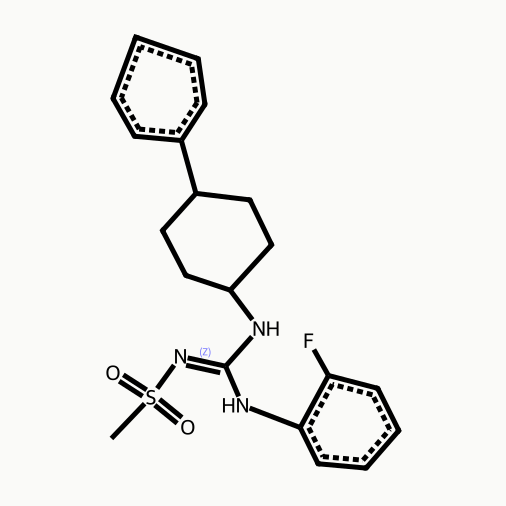 CS(=O)(=O)/N=C(\Nc1ccccc1F)NC1CCC(c2ccccc2)CC1